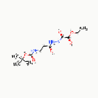 CCOC(=O)C(=O)NNC(=O)CCNC(=O)OC(C)(C)C